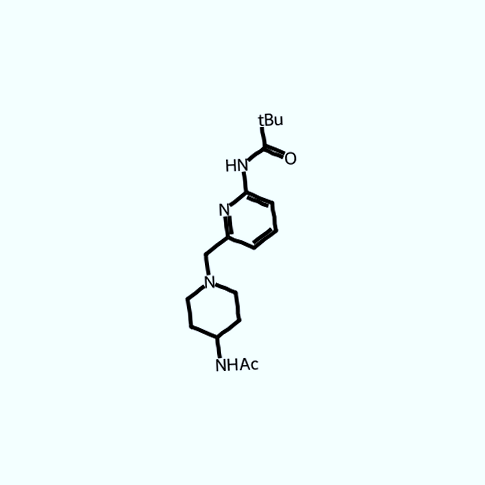 CC(=O)NC1CCN(Cc2cccc(NC(=O)C(C)(C)C)n2)CC1